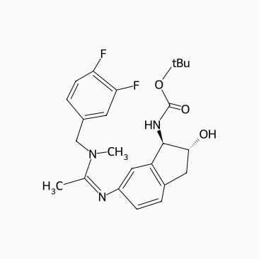 CC(=Nc1ccc2c(c1)[C@@H](NC(=O)OC(C)(C)C)[C@H](O)C2)N(C)Cc1ccc(F)c(F)c1